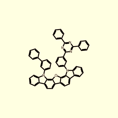 c1ccc(-c2cccc(-n3c4ccccc4c4ccc5c6ccc7c8ccccc8n(-c8cccc(-c9nc(-c%10ccccc%10)nc(-c%10ccccc%10)n9)c8)c7c6oc5c43)c2)cc1